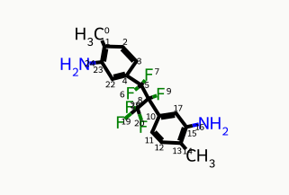 Cc1ccc(C(F)(F)C(F)(c2ccc(C)c(N)c2)C(F)(F)F)cc1N